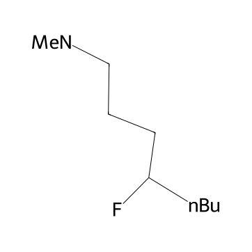 CCCCC(F)CCCNC